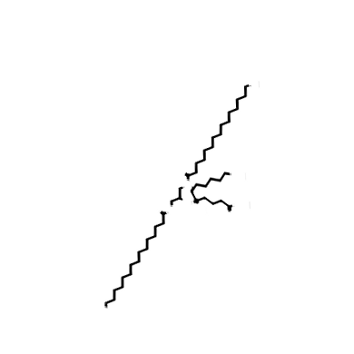 CCCCCCCCCCCCCCCC(=O)OCC(COC(=O)CCCCCCCCCCCCCCC)OC(C)(CCCCCCC)CCCC(=O)O